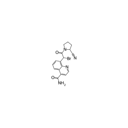 N#CC1CCCN1C(=O)C(Br)c1cccc2c(C(N)=O)ccnc12